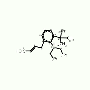 CC(C)C[SiH](CC(C)C)c1c(CC=CS(=O)(=O)O)cccc1C(C)(C)C(C)C